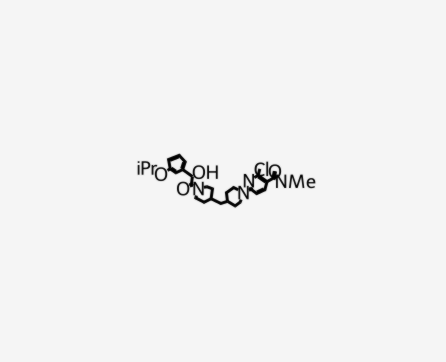 CNC(=O)c1ccc(N2CCC(CC3CCN(C(=O)C(O)c4cccc(OC(C)C)c4)CC3)CC2)nc1Cl